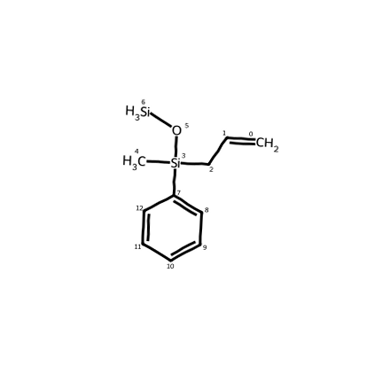 C=CC[Si](C)(O[SiH3])c1ccccc1